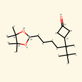 CC(C)(C)C(C)(CCCCB1OC(C)(C)C(C)(C)O1)C1CC(=O)C1